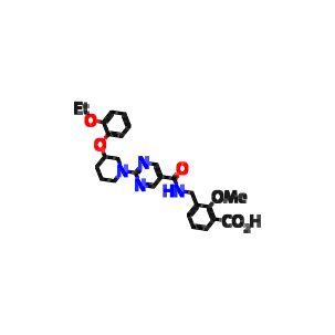 CCOc1ccccc1OC1CCCN(c2ncc(C(=O)NCc3cccc(C(=O)O)c3OC)cn2)C1